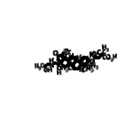 CC(C)C1=C2[C@@]([C@H](O)CNC[C@H](C)O)(CC[C@]3(C)[C@]2(C)CC[C@@H]2[C@@]4(C)CC[C@H](OC(=O)CC(C)(C)C(=O)O)C(C)(C)[C@@H]4CC[C@]23C)CC1=O